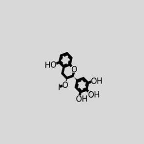 Oc1cc([C@H]2Oc3cccc(O)c3C[C@H]2OI)cc(O)c1O